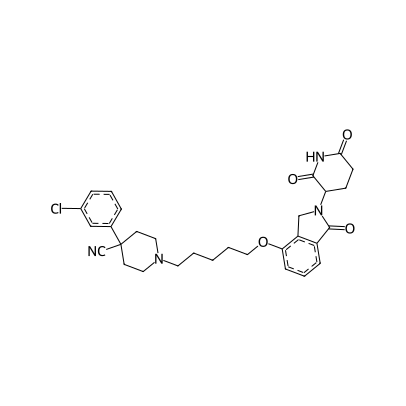 N#CC1(c2cccc(Cl)c2)CCN(CCCCCOc2cccc3c2CN(C2CCC(=O)NC2=O)C3=O)CC1